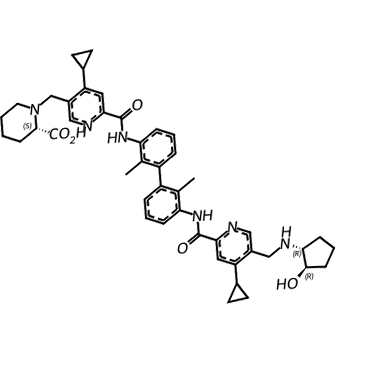 Cc1c(NC(=O)c2cc(C3CC3)c(CN[C@@H]3CCC[C@H]3O)cn2)cccc1-c1cccc(NC(=O)c2cc(C3CC3)c(CN3CCCC[C@H]3C(=O)O)cn2)c1C